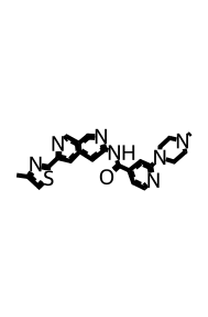 Cc1csc(-c2cc3cc(NC(=O)c4ccnc(N5CCN(C)CC5)c4)ncc3cn2)n1